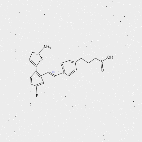 Cc1ccc(-c2ccc(F)cc2/C=C/c2ccc(CCCS(=O)O)cc2)s1